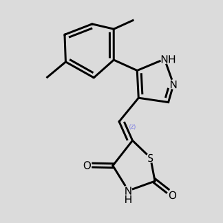 Cc1ccc(C)c(-c2[nH]ncc2/C=C2\SC(=O)NC2=O)c1